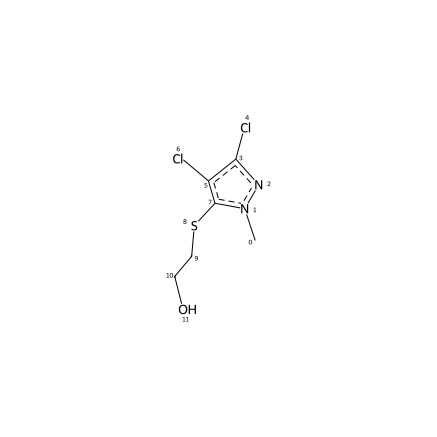 Cn1nc(Cl)c(Cl)c1SCCO